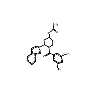 CC(=O)NC1CCN(C(=O)c2cc(C)cc(C)c2)C(c2ccc3ccccc3c2)C1